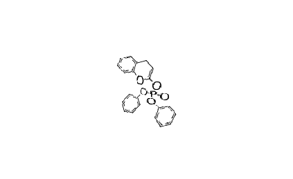 O=P(OC1=CCc2ccccc2O1)(Oc1ccccc1)Oc1ccccc1